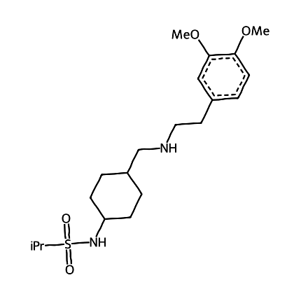 COc1ccc(CCNCC2CCC(NS(=O)(=O)C(C)C)CC2)cc1OC